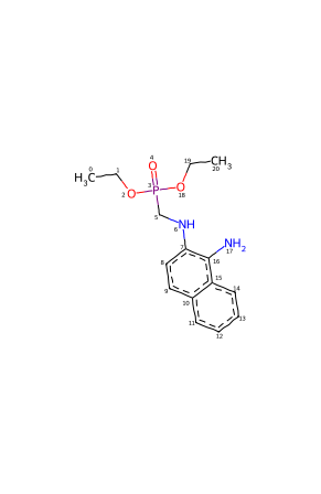 CCOP(=O)(CNc1ccc2ccccc2c1N)OCC